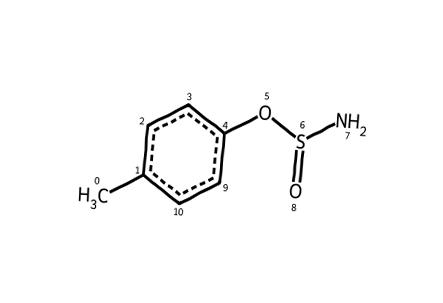 Cc1ccc(OS(N)=O)cc1